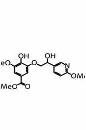 COC(=O)c1cc(OC)c(O)c(OCC(O)c2ccc(OC)nc2)c1